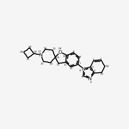 C1=Cc2c(ncn2-c2ccc3c(c2)CC2(CCN(C4CCC4)CC2)O3)CC1